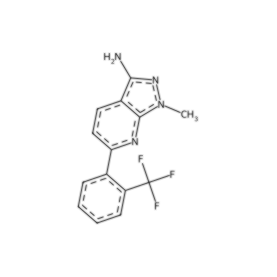 Cn1nc(N)c2ccc(-c3ccccc3C(F)(F)F)nc21